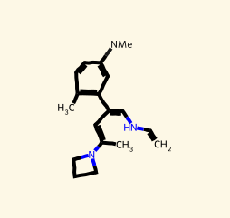 C=CN/C=C(\C=C(/C)N1CCC1)c1cc(NC)ccc1C